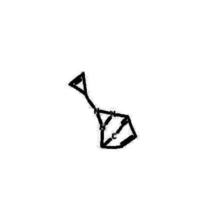 C1=CC2CC=C1n1n(C3C=C3)n12